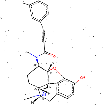 Cc1cccc(C#CC(=O)N(C)[C@@H]2CC[C@H]3[C@H]4Cc5ccc(O)c6c5[C@@]3(CCN4C)[C@H]2O6)c1